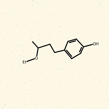 CCOC(C)CCc1ccc(O)cc1